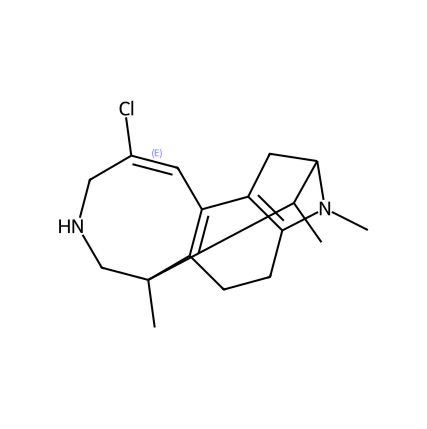 CC1C2CC3=C(CCC4=C3/C=C(/Cl)CNCC41C)N2C